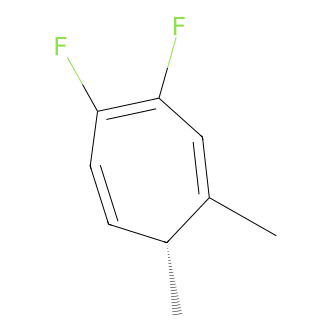 CC1=CC(F)=C(F)C=C[C@H]1C